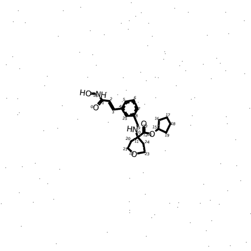 O=C(/C=C/c1cccc(CNC2(C(=O)OC3CCCC3)CCOCC2)c1)NO